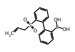 C=CCS(=O)(=O)c1ccccc1-c1ccccc1B(O)O